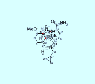 CO[C@@]12CC[C@@]3(C[C@@H]1C(C)(O)C(C)(C)C)[C@H]1Cc4ccc(C(N)=O)c5c4[C@@]3(CCN1CC1CC1)[C@H]2O5